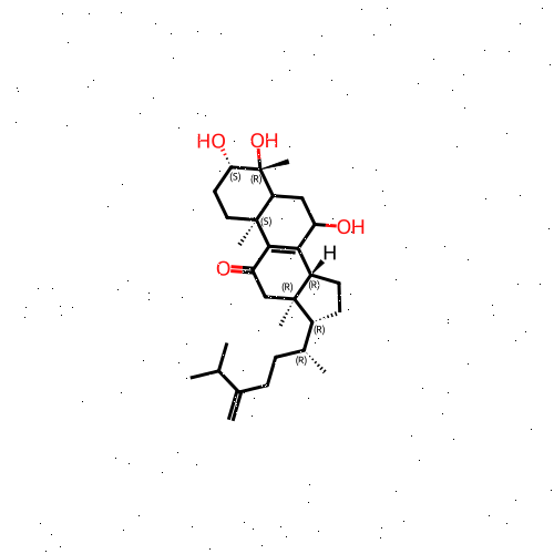 C=C(CC[C@@H](C)[C@H]1CC[C@H]2C3=C(C(=O)C[C@]12C)[C@@]1(C)CC[C@H](O)[C@](C)(O)C1CC3O)C(C)C